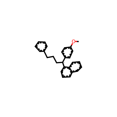 COc1ccc([C](CCCc2ccccc2)c2cccc3ccccc23)cc1